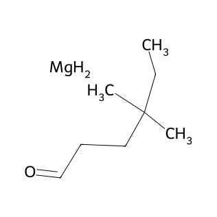 CCC(C)(C)CCC=O.[MgH2]